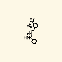 FC(F)(F)c1cccc(CCN2CCNC(c3ccccc3)C2)c1C(F)(F)F